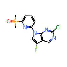 CP(C)(=O)c1cccc(-n2cc(F)c3cnc(Cl)nc32)n1